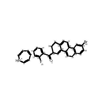 C1=CC=CNC=C1.O=C(c1ccccc1F)C1C=c2c(ccc3c2=CCc2ccc(Br)cc2-3)CC1